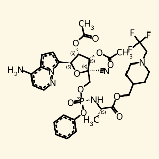 CC(=O)O[C@H]1[C@H](c2ccc3c(N)ccnn23)O[C@](C#N)(CO[P@@](=O)(N[C@@H](C)C(=O)OCC2CCN(CC(F)(F)F)CC2)Oc2ccccc2)[C@H]1OC(C)=O